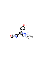 C[C@@H](CC(F)(F)F)Nc1ncc2c(-c3cnn([C@H]4CCOC4)c3)cc([C@H]3CC[C@H](O)CC3)n2n1